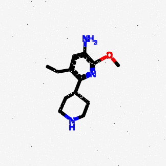 CCc1cc(N)c(OC)nc1C1CCNCC1